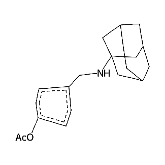 CC(=O)Oc1ccc(CNC23CC4CC(CC(C4)C2)C3)cc1